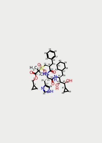 CC(C)(C(=O)OCC1CC1)S(=O)(=O)C[C@@H](Cc1ccccc1)C(=O)N[C@@H](Cc1c[nH]cn1)C(=O)N[C@@H](CC1CCCCC1)[C@@H](O)[C@@H](O)C1CC1